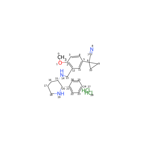 COc1ccc(C2(C#N)CC2)cc1CN[C@H]1CCCN[C@H]1c1ccccc1.Cl.Cl